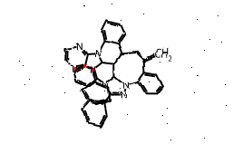 C=C1CC2c3ccccc3N3c4nccnc4N(c4ccccc4)C3C2C2N(N=C(c3ccccc3)N2c2ccccc2)c2ccccc21